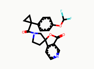 O=C1OC2(CCN(C(=O)C3(c4ccc(OC(F)F)cc4)CC3)C2)c2ccncc21